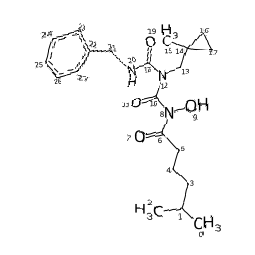 CC(C)CCCC(=O)N(O)C(=O)N(CC1(C)CC1)C(=O)NCc1ccccc1